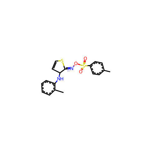 Cc1ccc(S(=O)(=O)O/N=C2\SC=CC2Nc2ccccc2C)cc1